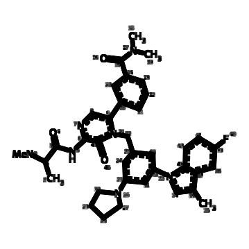 CNC(C)C(=O)Nc1ncc(-c2cccc(C(=O)N(C)C)c2)n(Cc2cc(N3CCCC3)cc(-n3cc(C)c4cc(F)ccc43)c2)c1=O